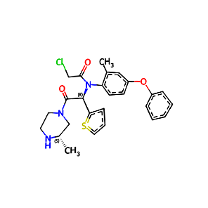 Cc1cc(Oc2ccccc2)ccc1N(C(=O)CCl)[C@H](C(=O)N1CCN[C@@H](C)C1)c1cccs1